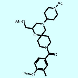 COCC1CN(C2CCN(C(C)=O)CC2)CC2(CCN(C(=O)c3ccc(OC(C)C)c(C)c3)CC2)O1